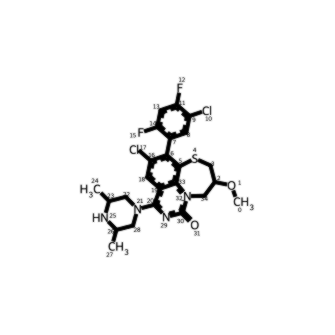 COC1CSc2c(-c3cc(Cl)c(F)cc3F)c(Cl)cc3c(N4CC(C)NC(C)C4)nc(=O)n(c23)C1